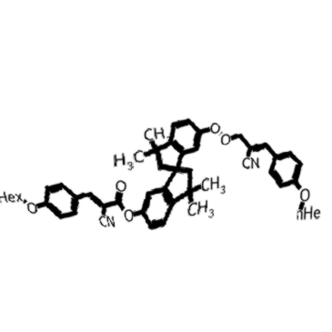 CCCCCCOc1ccc(/C=C(\C#N)COOc2ccc3c(c2)C2(CC3(C)C)CC(C)(C)c3ccc(OC(=O)/C(C#N)=C/c4ccc(OCCCCCC)cc4)cc32)cc1